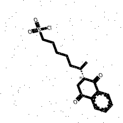 CC(CCCCCS(=O)(=O)Cl)[C@H]1CC(=O)c2ccccc2C1=O